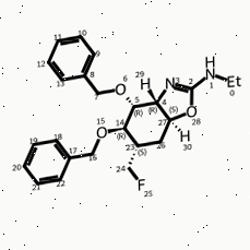 CCNC1=N[C@H]2[C@@H](OCc3ccccc3)[C@H](OCc3ccccc3)[C@@H](CF)C[C@@H]2O1